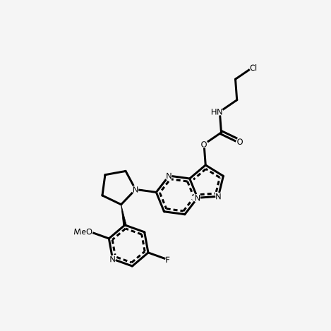 COc1ncc(F)cc1[C@H]1CCCN1c1ccn2ncc(OC(=O)NCCCl)c2n1